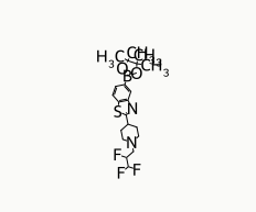 CC1(C)OB(c2ccc3sc(C4CCN(CC(F)C(F)F)CC4)nc3c2)OC1(C)C